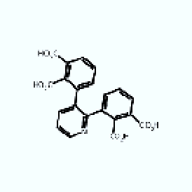 O=C(O)c1cccc(-c2cccnc2-c2cccc(C(=O)O)c2C(=O)O)c1C(=O)O